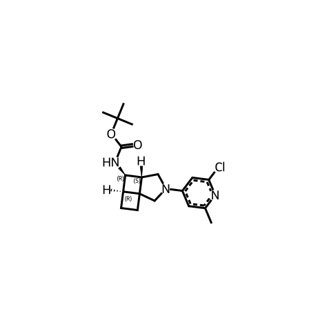 Cc1cc(N2C[C@H]3[C@H](NC(=O)OC(C)(C)C)[C@@H]4CCC43C2)cc(Cl)n1